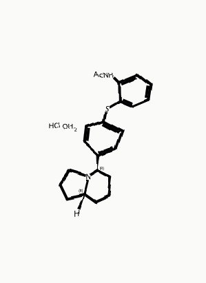 CC(=O)Nc1ccccc1Sc1ccc([C@H]2CCC[C@@H]3CCCN32)cc1.Cl.O